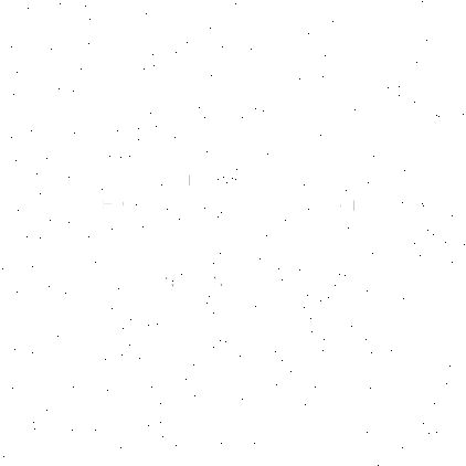 Cc1cc2ncnc(C3CCC(CCO)CC3)c2cc1C